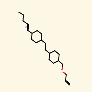 C=CCOCC1CCC(CCC2CCC(/C=C/CCC)CC2)CC1